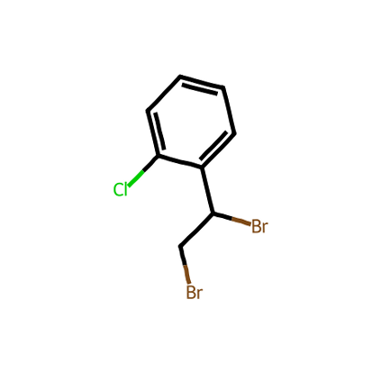 Clc1ccccc1C(Br)CBr